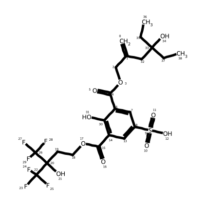 C=C(COC(=O)c1cc(S(=O)(=O)O)cc(C(=O)OCCC(O)(C(F)(F)F)C(F)(F)F)c1O)CC(O)(CC)CC